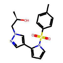 Cc1ccc(S(=O)(=O)n2cccc2-c2cnn(C[C@@H](C)O)c2)cc1